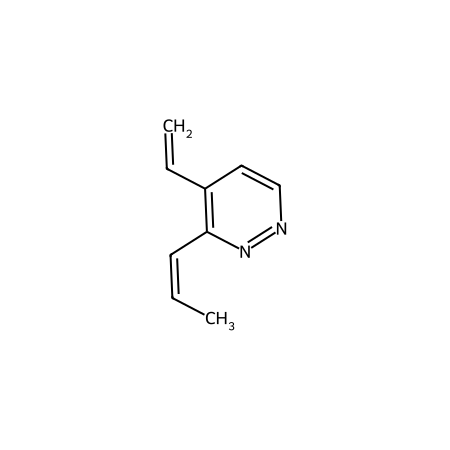 C=Cc1ccnnc1/C=C\C